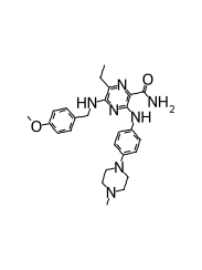 CCc1nc(C(N)=O)c(Nc2ccc(N3CCN(C)CC3)cc2)nc1NCc1ccc(OC)cc1